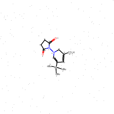 CCC[CH2][Sn]([CH2]CCC)([CH2]CCC)[C]1=CN(N2C(=O)CCC2=O)CC(C(=O)O)=C1